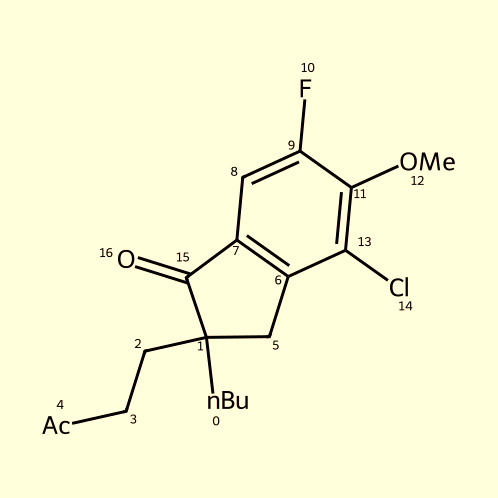 CCCCC1(CCC(C)=O)Cc2c(cc(F)c(OC)c2Cl)C1=O